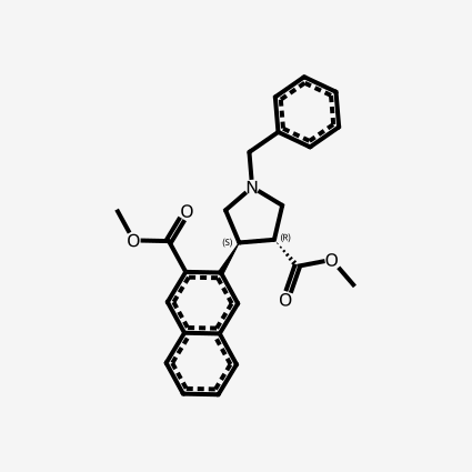 COC(=O)c1cc2ccccc2cc1[C@H]1CN(Cc2ccccc2)C[C@@H]1C(=O)OC